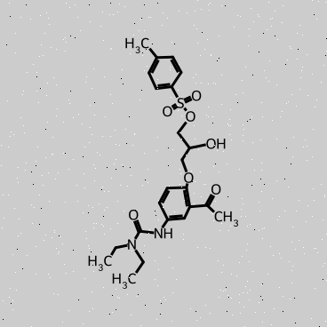 CCN(CC)C(=O)Nc1ccc(OCC(O)COS(=O)(=O)c2ccc(C)cc2)c(C(C)=O)c1